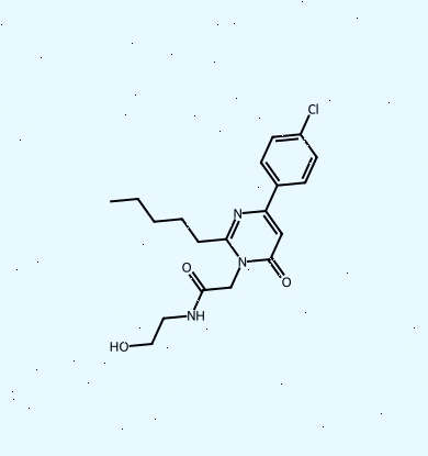 CCCCCc1nc(-c2ccc(Cl)cc2)cc(=O)n1CC(=O)NCCO